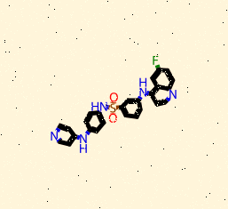 O=S(=O)(Nc1ccc(Nc2ccncc2)cc1)c1cccc(Nc2ccnc3ccc(F)cc23)c1